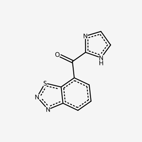 O=C(c1ncc[nH]1)c1cccc2nnsc12